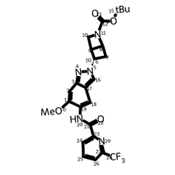 COc1cc2nn([C@H]3CC4C3CN4C(=O)OC(C)(C)C)cc2cc1NC(=O)c1cccc(C(F)(F)F)n1